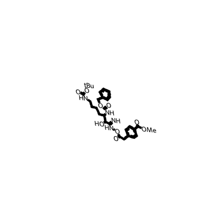 COC(=O)c1ccc(CC(=O)ONC(=N)C(O)C(CCCCNC(=O)OC(C)(C)C)NC(=O)OCc2ccccc2)cc1